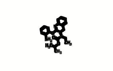 CCN(C(=O)OC(C)C)N1Cc2ccccc2N=C1Oc1ccccc1N